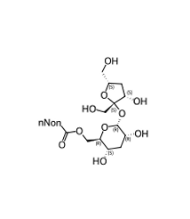 CCCCCCCCCC(=O)OC[C@H]1O[C@H](O[C@]2(CO)O[C@H](CO)C[C@@H]2O)[C@H](O)C[C@@H]1O